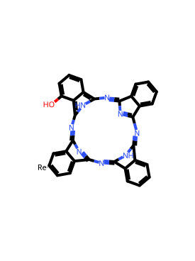 Oc1cccc2c3nc4nc(nc5[nH]c(nc6nc(nc([nH]3)c12)-c1ccccc1-6)c1ccccc51)-c1ccccc1-4.[Re]